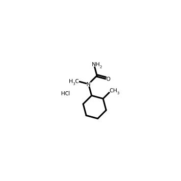 CC1CCCCC1N(C)C(N)=O.Cl